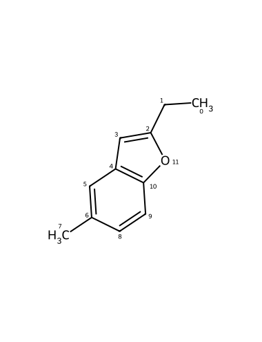 CCc1cc2cc(C)ccc2o1